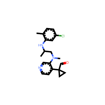 Cc1ccc(Cl)cc1NC(C)CN(C)c1cnccc1C1(C=O)CC1